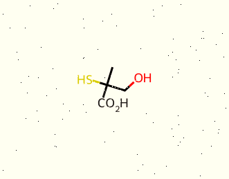 CC(S)(CO)C(=O)O